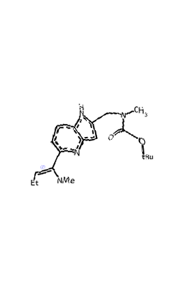 CC/C=C(\NC)c1ccc2[nH]c(CN(C)C(=O)OC(C)(C)C)cc2n1